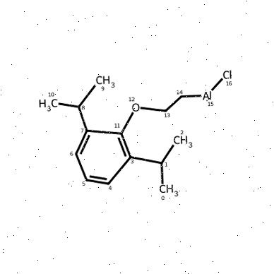 CC(C)c1cccc(C(C)C)c1OC[CH2][Al][Cl]